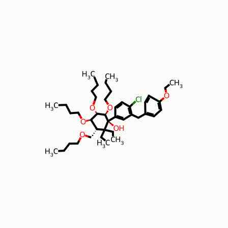 CCCCOC[C@@H]1[C@@H](OCCCC)[C@H](OCCCC)[C@@H](OCCCC)[C@](O)(c2ccc(Cl)c(Cc3ccc(OCC)cc3)c2)C1(CC)CC